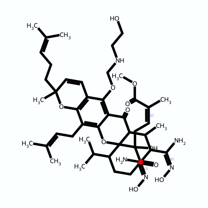 COC(=O)/C(C)=C\CC1(O)C(=O)CCC(C(C)C)C12Oc1c(CC=C(C)C)c3c(c(OCNCCO)c1C(=O)C2C(C)C(/C(N)=N/O)/C(N)=N\O)C=CC(C)(CCC=C(C)C)O3